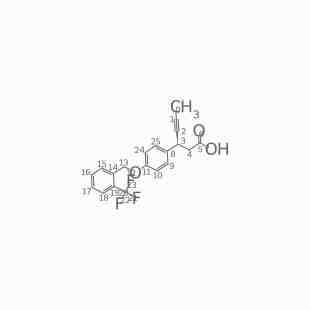 CC#C[C@@H](CC(=O)O)c1ccc(OCc2ccccc2C(F)(F)F)cc1